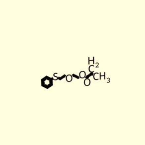 C=C(C)C(=O)OCCOCCSc1ccccc1